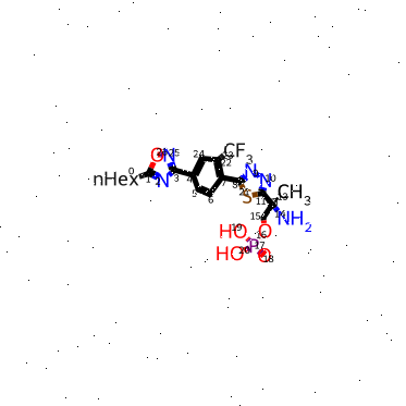 CCCCCCc1nc(-c2ccc(-c3nnc([C@@](C)(N)COP(=O)(O)O)s3)c(C(F)(F)F)c2)no1